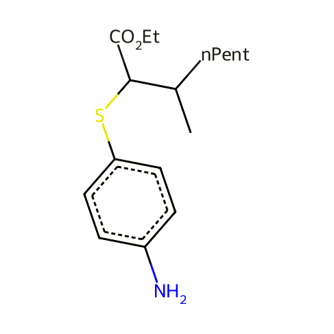 CCCCCC(C)C(Sc1ccc(N)cc1)C(=O)OCC